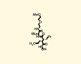 C=CC[C@H](C(=O)NO)[C@@H](CC(C)C)C(=O)N[C@H](C(=S)NCCOCCOC)C(C)(C)C